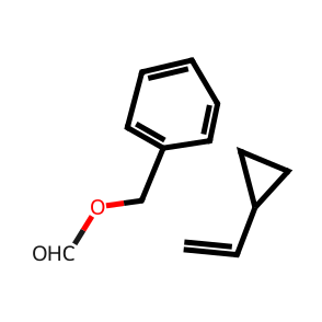 C=CC1CC1.O=COCc1ccccc1